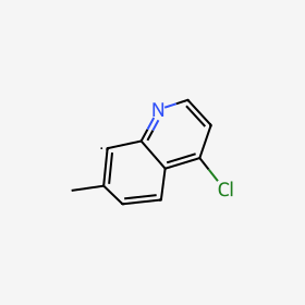 Cc1[c]c2nccc(Cl)c2cc1